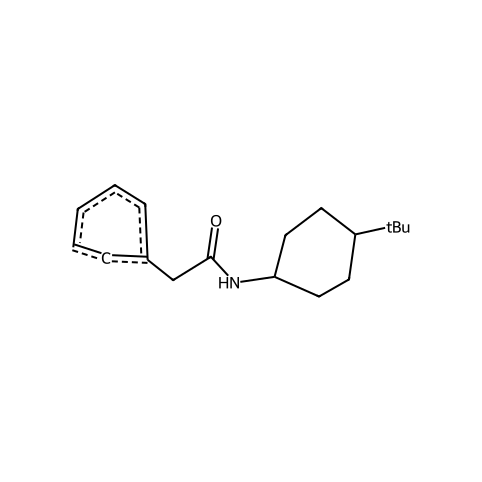 CC(C)(C)C1CCC(NC(=O)Cc2ccccc2)CC1